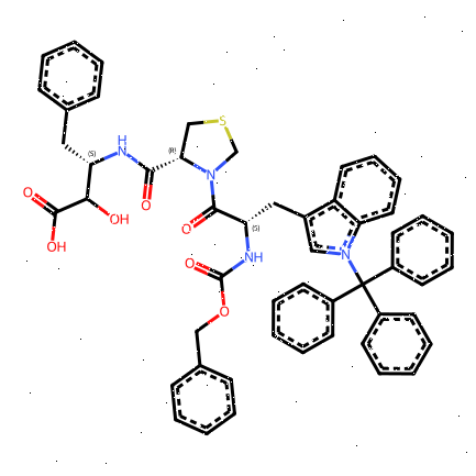 O=C(N[C@@H](Cc1cn(C(c2ccccc2)(c2ccccc2)c2ccccc2)c2ccccc12)C(=O)N1CSC[C@H]1C(=O)N[C@@H](Cc1ccccc1)C(O)C(=O)O)OCc1ccccc1